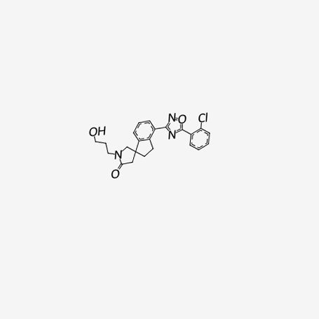 O=C1CC2(CCc3c(-c4noc(-c5ccccc5Cl)n4)cccc32)CN1CCCO